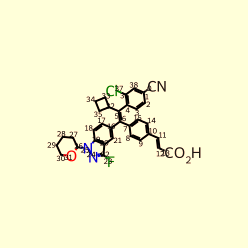 N#Cc1ccc(/C(=C(\c2ccc(C=CC(=O)O)cc2)c2ccc3c(c2)c(F)nn3C2CCCCO2)C2CCC2)c(Cl)c1